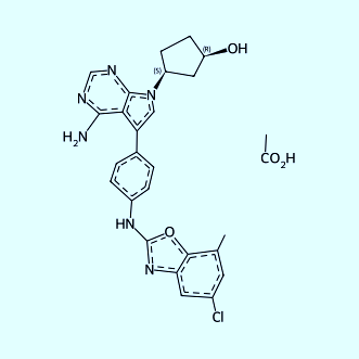 CC(=O)O.Cc1cc(Cl)cc2nc(Nc3ccc(-c4cn([C@H]5CC[C@@H](O)C5)c5ncnc(N)c45)cc3)oc12